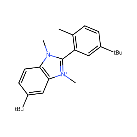 Cc1ccc(C(C)(C)C)cc1-c1n(C)c2ccc(C(C)(C)C)cc2[n+]1C